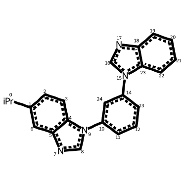 CC(C)c1ccc2c(c1)ncn2-c1cccc(-n2cnc3ccccc32)c1